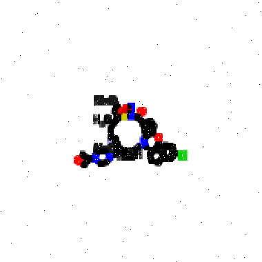 COCC[C@@H]1[C@@H](C)C/C=C/[C@@](CN2CCN(C3COC3)CC2)(OC)[C@@H]2CC[C@H]2CN2C[C@@]3(CCCc4cc(Cl)ccc43)COc3ccc(cc32)C(=O)NS1(=O)=O